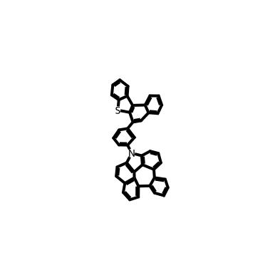 c1cc(-c2cc3ccccc3c3c2sc2ccccc23)cc(-n2c3cccc4c3c3c5c(cccc5ccc32)-c2ccccc2-4)c1